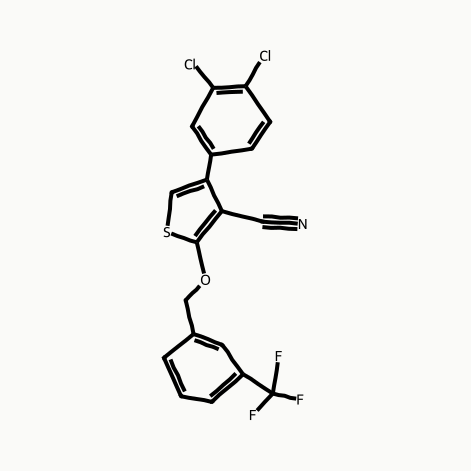 N#Cc1c(-c2ccc(Cl)c(Cl)c2)csc1OCc1cccc(C(F)(F)F)c1